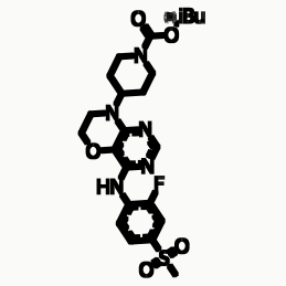 CC[C@@H](C)OC(=O)N1CCC(N2CCOc3c(Nc4ccc(S(C)(=O)=O)cc4F)ncnc32)CC1